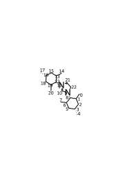 CC1C[C@H](C)CC(C)[C@@H]1N1C=[N+]([C@H]2C(C)C[C@@H](C)CC2C)CC1